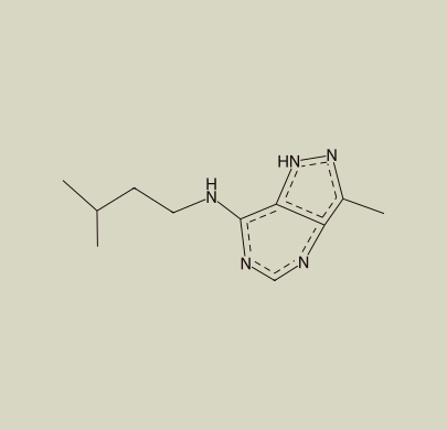 Cc1n[nH]c2c(NCCC(C)C)ncnc12